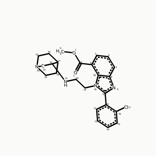 COC(=O)c1cccc2nc(-c3ccccc3Cl)n(CCNC3CN4CCC3CC4)c12